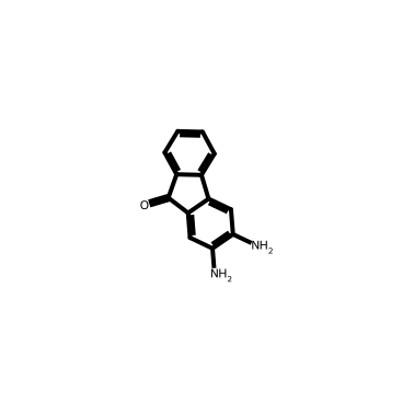 Nc1cc2c(cc1N)-c1ccccc1C2=O